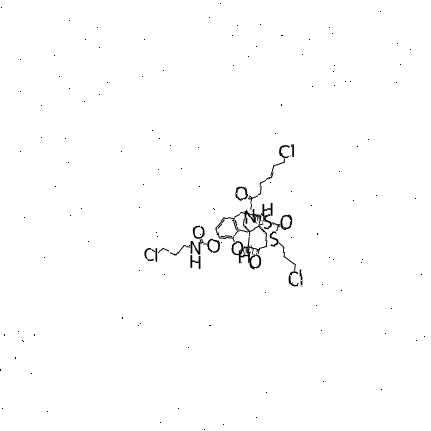 O=C(NCCCCl)Oc1ccc2c3c1O[C@H]1C(=O)CCC4(SC(=O)SCCCCl)[C@@H](C2)N(C(=O)CCCCCCl)CCC314